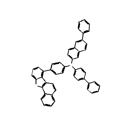 c1ccc(-c2ccc(N(c3ccc(-c4cccc5oc6c7ccccc7ccc6c45)cc3)c3ccc4cc(-c5ccccc5)ccc4c3)cc2)cc1